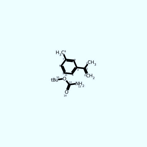 C=C(C)c1cccc(C)c1.CC(C)(C)OC(N)=O